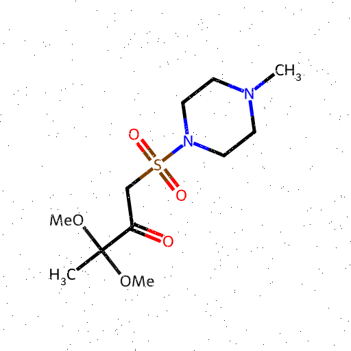 COC(C)(OC)C(=O)CS(=O)(=O)N1CCN(C)CC1